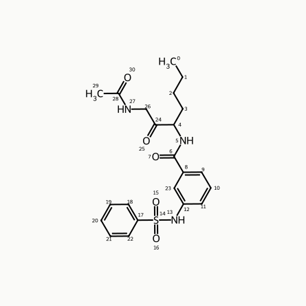 CCCCC(NC(=O)c1cccc(NS(=O)(=O)c2ccccc2)c1)C(=O)CNC(C)=O